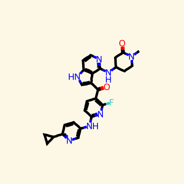 CN1CCC(Nc2nccc3[nH]cc(C(=O)c4ccc(Nc5ccc(C6CC6)nc5)nc4F)c23)CC1=O